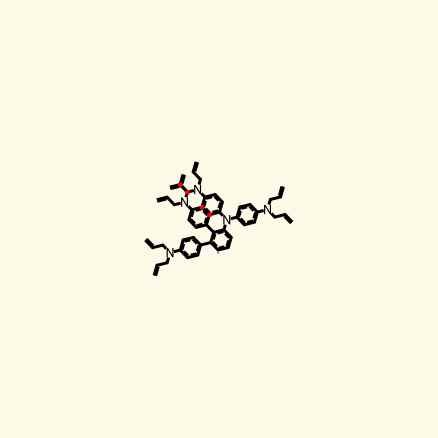 C=CCN(CC=C)c1ccc(-c2[c]ccc(N(c3ccc(N(CC=C)CC=C)cc3)c3ccc(N(CC=C)CC=C)cc3)c2-c2ccc(N(CC=C)CC=C)cc2)cc1